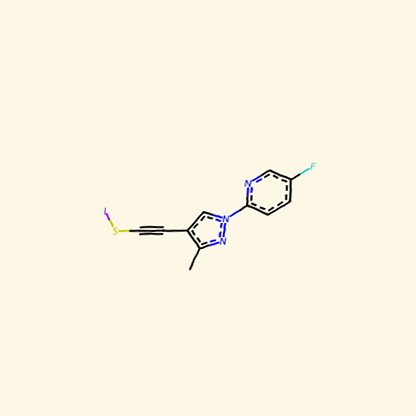 Cc1nn(-c2ccc(F)cn2)cc1C#CSI